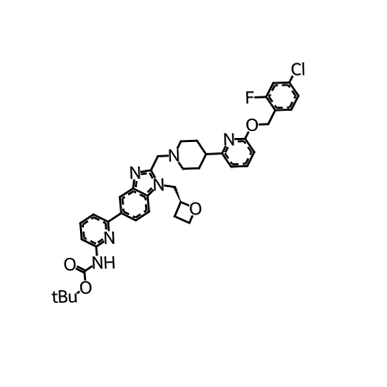 CC(C)(C)OC(=O)Nc1cccc(-c2ccc3c(c2)nc(CN2CCC(c4cccc(OCc5ccc(Cl)cc5F)n4)CC2)n3C[C@@H]2CCO2)n1